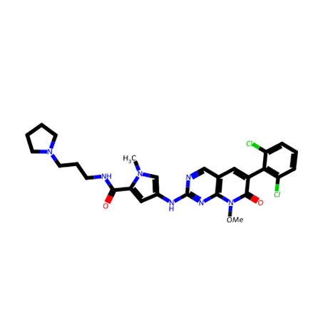 COn1c(=O)c(-c2c(Cl)cccc2Cl)cc2cnc(Nc3cc(C(=O)NCCCN4CCCC4)n(C)c3)nc21